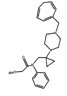 COCC(=O)N(CC1(N2CCN(CC3=CC=CCC=C3)CC2)CC1)c1ccccc1